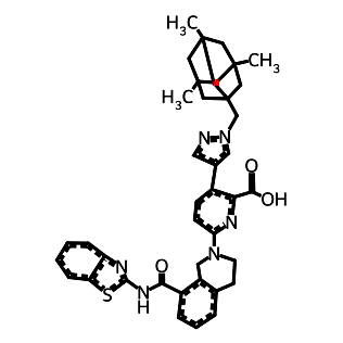 CC12CC3(C)CC(C)(C1)CC(Cn1cc(-c4ccc(N5CCc6cccc(C(=O)Nc7nc8ccccc8s7)c6C5)nc4C(=O)O)cn1)(C2)C3